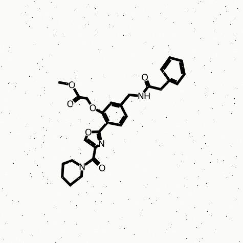 COC(=O)COc1cc(CNC(=O)Cc2ccccc2)ccc1-c1nc(C(=O)N2CCCCC2)co1